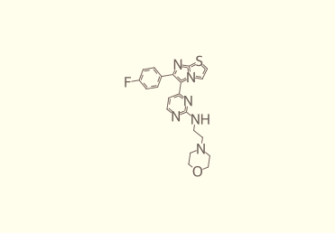 Fc1ccc(-c2nc3sccn3c2-c2ccnc(NCCN3CCOCC3)n2)cc1